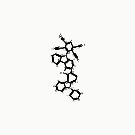 N#Cc1cc(C#N)c(C#N)c(-n2c3ccccc3c3c4sc5c(ccc6c5c5ccccc5n6-c5ccccc5)c4ccc32)c1C#N